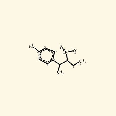 CCC(C(C)c1ccc(O)cc1)[N+](=O)[O-]